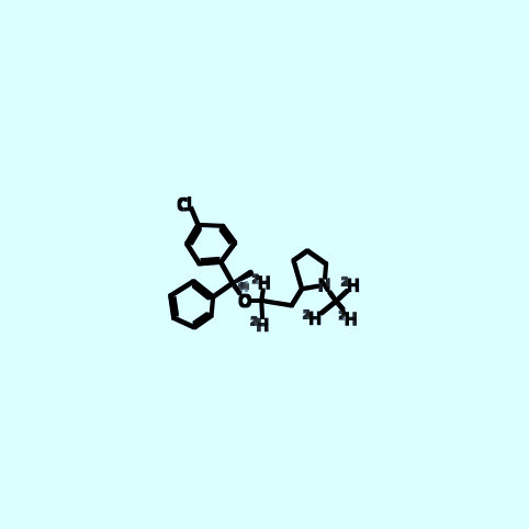 [2H]C([2H])(CC1CCCN1C([2H])([2H])[2H])O[C@](C)(c1ccccc1)c1ccc(Cl)cc1